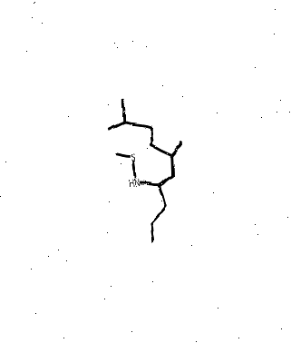 CCCC(CC(C)CCC(C)C)NSC